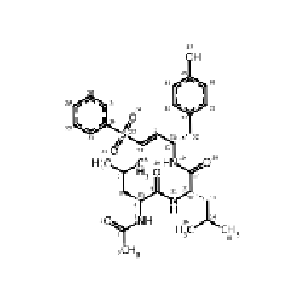 CC(=O)N[C@@H](CC(C)C)C(=O)N[C@@H](CC(C)C)C(=O)N[C@H](C=CS(=O)(=O)c1ccccc1)Cc1ccc(O)cc1